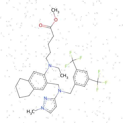 CCN(CCCCC(=O)OC)c1cc2c(cc1CN(Cc1cc(C(F)(F)F)cc(C(F)(F)F)c1)c1ccn(C)n1)CCCC2